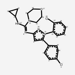 Clc1ccc(-c2cc(N=C(NC3CC3)N3CCOCC3)nn2-c2ccccc2Cl)cc1